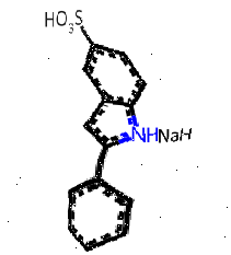 O=S(=O)(O)c1ccc2[nH]c(-c3ccccc3)cc2c1.[NaH]